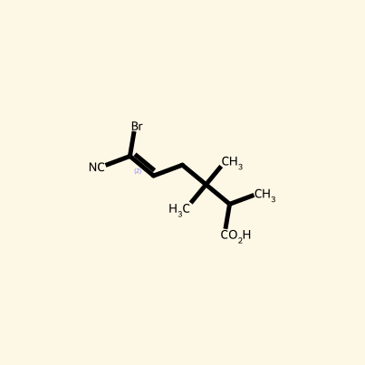 CC(C(=O)O)C(C)(C)C/C=C(\Br)C#N